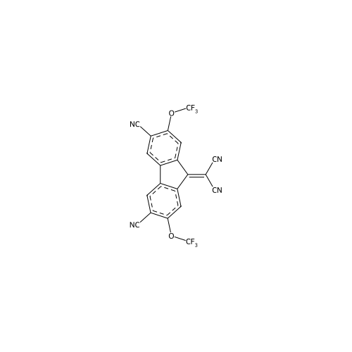 N#CC(C#N)=C1c2cc(OC(F)(F)F)c(C#N)cc2-c2cc(C#N)c(OC(F)(F)F)cc21